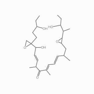 CCC(O)CCC1(C(O)/C=C/C(C)C(=O)/C(C)=C/C=C/C(C)CC2OC2C(C)C(O)CC)CO1